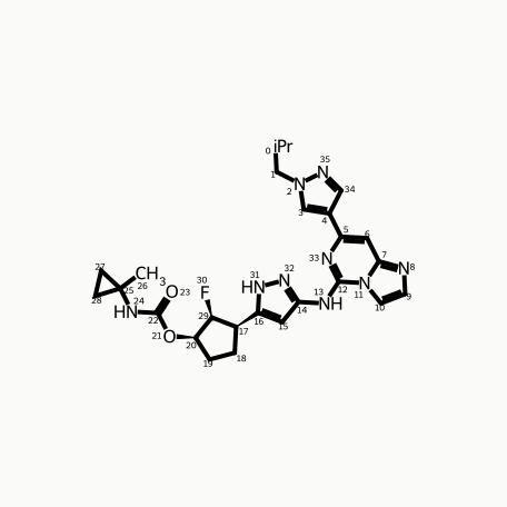 CC(C)Cn1cc(-c2cc3nccn3c(Nc3cc([C@H]4CC[C@@H](OC(=O)NC5(C)CC5)[C@H]4F)[nH]n3)n2)cn1